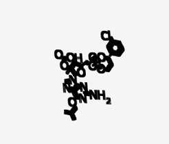 CC(C)COc1nc(N)nc2c1ncn2[C@@H]1O[C@H](CO[P@@]2(=O)OCC[C@@H](c3cccc(Cl)c3)O2)[C@H]2OC(=O)O[C@]21C